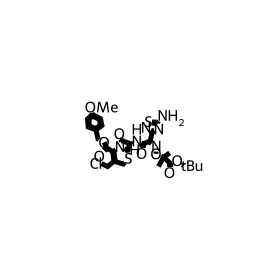 COc1ccc(COC(=O)C2=C(CCl)CS[C@@H]3[C@H](NC(=O)/C(=N\OC(C)(C)C(=O)OC(C)(C)C)c4nsc(N)n4)C(=O)N23)cc1